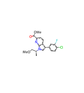 COC[C@H](C)n1cc(-c2ccc(Cl)c(F)c2)c2ccc(C(=O)OC)nc21